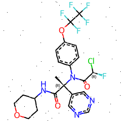 C[C@](C(=O)NC1CCOCC1)(c1cncnc1)N(C(=O)[C@H](F)Cl)c1ccc(OC(F)(F)C(F)(F)F)cc1